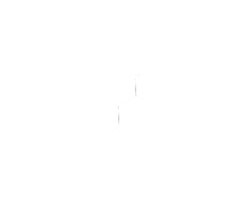 CCC(F)C[CH]Cl